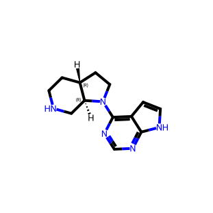 c1nc(N2CC[C@H]3CCNC[C@@H]32)c2cc[nH]c2n1